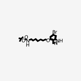 CC(C)(C)OC(=O)NCCCCCCCOc1cc(Br)cc2[nH]ncc12